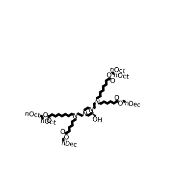 CCCCCCCCCCCOC(=O)CCCCCN(CCCCCCCC(=O)OC(CCCCCCCC)CCCCCCCC)CCN1CCN(CCN(CCCCCCCC(=O)OC(CCCCCCCC)CCCCCCCC)CCCCCC(=O)OCCCCCCCCCCC)[C@@H](CO)C1